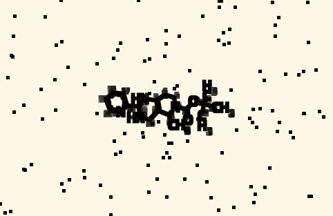 CC1C2=C(CCN1C(=O)OC(C)(C)C)NC(c1ccccn1)NC2